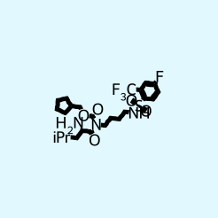 CC(C)C[C@H](N)C(=O)N(CCCCNS(=O)(=O)c1ccc(F)cc1C(F)(F)F)C(=O)OCC1CCCC1